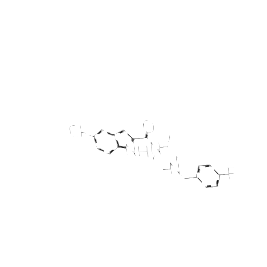 C[C@@H]1CN(C(=O)c2cc3cc(Cl)ccc3[nH]2)[C@@H](C)CN1Cc1ccc(F)cc1